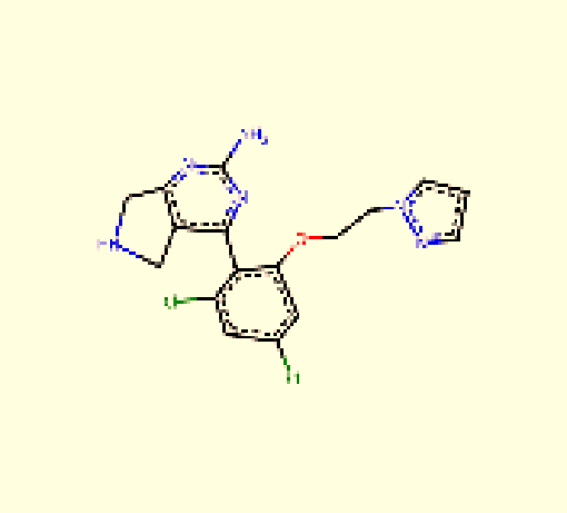 Nc1nc2c(c(-c3c(Cl)cc(Cl)cc3OCCn3cccn3)n1)CNC2